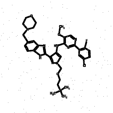 COc1cnc(-c2cc(Cl)ccc2F)nc1Nc1cn(COCC[Si](C)(C)C)nc1-c1nc2cc(CN3CCOCC3)ccc2[nH]1